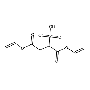 C=COC(=O)CC(C(=O)OC=C)S(=O)(=O)O